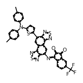 Cc1ccc(N(c2ccc(C)cc2)c2ccc(-c3cc4c(cc(/N=c5\c(=O)c(=O)c6cc(C(F)(F)F)ccc56)c5nsnc54)c4nsnc34)s2)cc1